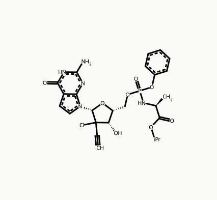 C#CC1(Cl)[C@@H](O)[C@@H](COP(=O)(N[C@@H](C)C(=O)OC(C)C)Oc2ccccc2)O[C@H]1n1ccc2c(=O)[nH]c(N)nc21